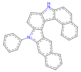 c1ccc(-n2c3cc4ccccc4cc3c3c4c(ccc32)[nH]c2ccc3ccccc3c24)cc1